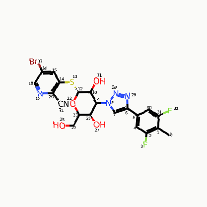 Cc1c(F)cc(-c2cn(C3C(O)[C@@H](Sc4cc(Br)cnc4C#N)OC(CO)[C@@H]3O)nn2)cc1F